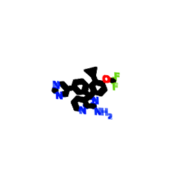 NC1=NC(c2cccc(-c3cncnc3)c2)(c2ccc(OC(F)F)c(C3CC3)c2)c2cccnc21